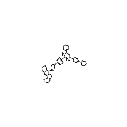 c1ccc(-c2ccc(-c3cc(-c4ccccc4)nc(-c4ccc(-c5ccc(-c6c7ccccc7cc7c6ccc6ccccc67)cc5)cc4)n3)cc2)cc1